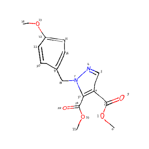 COC(=O)c1cnn(Cc2ccc(OC)cc2)c1C(=O)OC